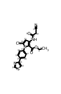 CCOC(=O)c1c(NC(=O)CC#N)cc(Cl)n1-c1ccc(-c2cscn2)cc1